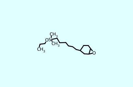 CCCO[Si](C)(C)CCCCCCC1CCC2OC2C1